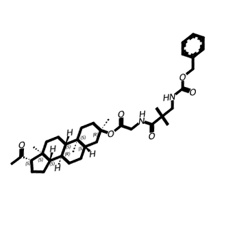 CC(=O)[C@H]1CC[C@H]2[C@@H]3CC[C@H]4C[C@](C)(OC(=O)CNC(=O)C(C)(C)CNC(=O)OCc5ccccc5)CC[C@]4(C)[C@H]3CC[C@]12C